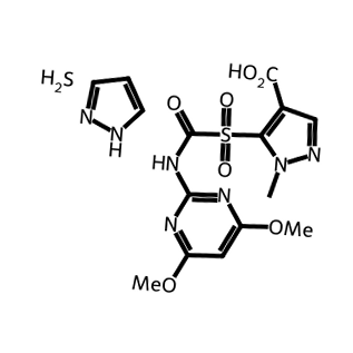 COc1cc(OC)nc(NC(=O)S(=O)(=O)c2c(C(=O)O)cnn2C)n1.S.c1cn[nH]c1